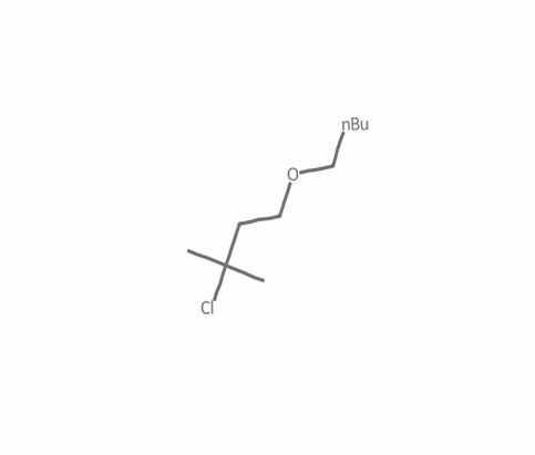 CCCCCOCCC(C)(C)Cl